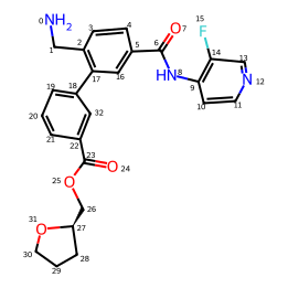 NCc1ccc(C(=O)Nc2ccncc2F)cc1-c1cccc(C(=O)OC[C@H]2CCCO2)c1